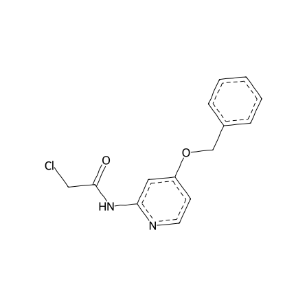 O=C(CCl)Nc1cc(OCc2ccccc2)ccn1